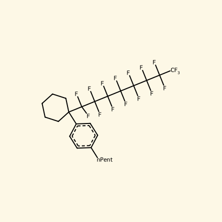 CCCCCc1ccc(C2(C(F)(F)C(F)(F)C(F)(F)C(F)(F)C(F)(F)C(F)(F)C(F)(F)C(F)(F)F)CCCCC2)cc1